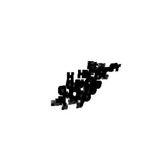 CC[C@@H](NC1=NS(=O)(=O)C(C2OC(C)O2)=C1Nc1cccc(C(=O)N(C)C)c1O)c1cc(C(C)C)co1